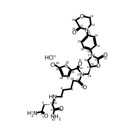 Cl.NC(=O)C[C@H](NCCCCC(=O)N(C[C@H]1CN(c2ccc(N3CCOCC3=O)cc2)C(=O)O1)C(=O)c1ccc(Cl)s1)C(N)=O